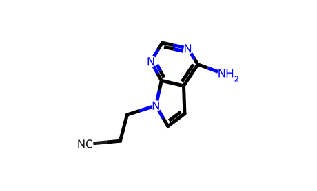 N#CCCn1ccc2c(N)ncnc21